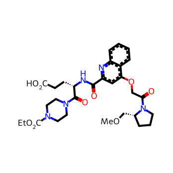 CCOC(=O)N1CCN(C(=O)[C@H](CCC(=O)O)NC(=O)c2cc(OCC(=O)N3CCC[C@@H]3COC)c3ccccc3n2)CC1